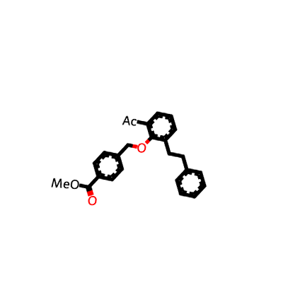 COC(=O)c1ccc(COc2c(CCc3ccccc3)cccc2C(C)=O)cc1